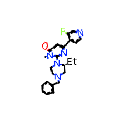 CC[C@@H]1CN(Cc2ccccc2)CCN1c1nc(-c2ccncc2F)cc(=O)n1C